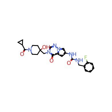 O=C(NCc1ccccc1F)Nc1cc2c(=O)n(CC3(O)CCN(C(=O)C4CC4)CC3)cnn2c1